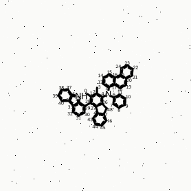 Cc1c(C)c(N(c2ccccc2)c2cccc3c2ccc2ccccc23)c2c(c1-c1cccc3c1[nH]c1ccccc13)-c1ccccc1C2